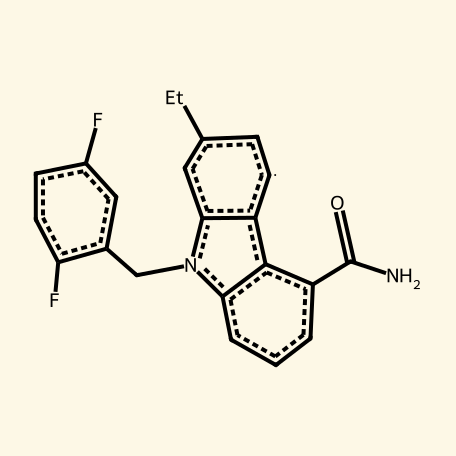 CCc1c[c]c2c3c(C(N)=O)cccc3n(Cc3cc(F)ccc3F)c2c1